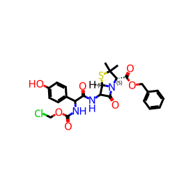 CC1(C)S[C@@H]2C(NC(=O)C(NC(=O)OCCl)c3ccc(O)cc3)C(=O)N2[C@H]1C(=O)OCc1ccccc1